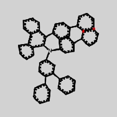 c1ccc(-c2ccc(-c3c(N(c4ccc(-c5ccccc5)cc4)c4ccc(-c5ccccc5)c(-c5ccccc5)c4)c4ccccc4c4ccccc34)cc2)cc1